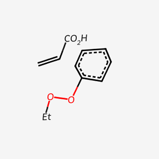 C=CC(=O)O.CCOOc1ccccc1